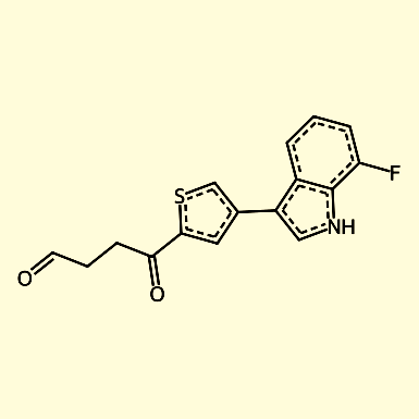 O=CCCC(=O)c1cc(-c2c[nH]c3c(F)cccc23)cs1